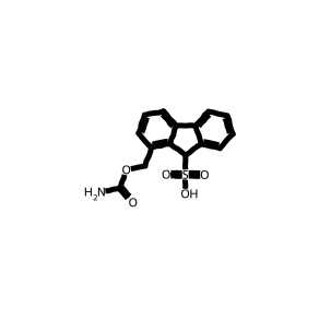 NC(=O)OCc1cccc2c1C(S(=O)(=O)O)c1ccccc1-2